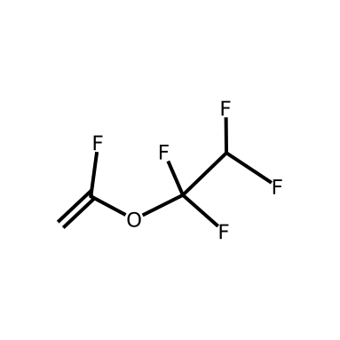 C=C(F)OC(F)(F)C(F)F